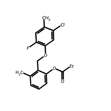 CCC(=O)Oc1cccc(C)c1COc1cc(Cl)c(C)cc1F